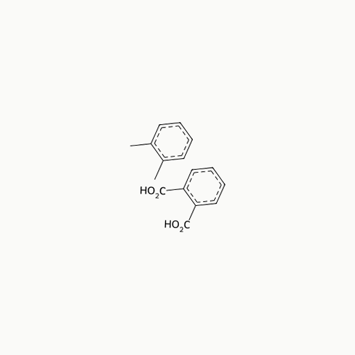 Cc1ccccc1C.O=C(O)c1ccccc1C(=O)O